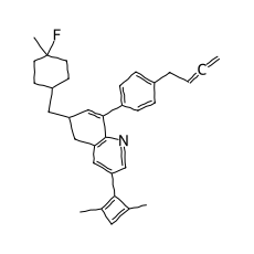 C=C=CCc1ccc(C2=CC(CC3CCC(C)(F)CC3)Cc3cc(C4=C(C)C=C4C)cnc32)cc1